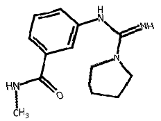 CNC(=O)c1cccc(NC(=N)N2CCCC2)c1